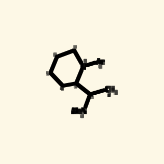 CNC(C)C1CCCCN1C(C)=O